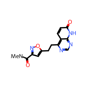 CNC(=O)c1cc(CCc2ncnc3[nH]c(=O)ccc23)on1